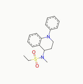 CCS(=O)(=O)N(C)C1CCN(c2ccccc2)c2ccccc21